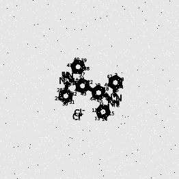 [Cl-].[Cl-].c1ccc(-c2nnn(-c3ccccc3)[n+]2-c2ccc(-c3ccc(-[n+]4c(-c5ccccc5)nnn4-c4ccccc4)cc3)cc2)cc1